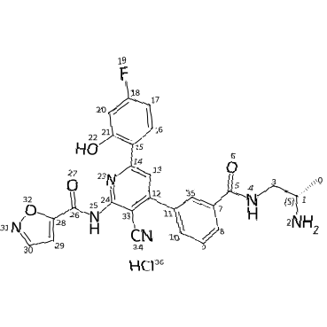 C[C@H](N)CNC(=O)c1cccc(-c2cc(-c3ccc(F)cc3O)nc(NC(=O)c3ccno3)c2C#N)c1.Cl